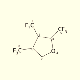 FC(F)(F)C1COC(C(F)(F)F)C1C(F)(F)F